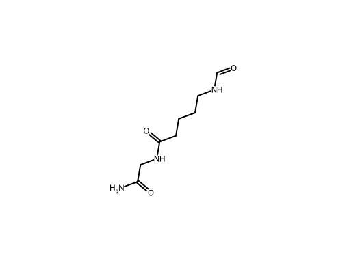 NC(=O)CNC(=O)CCCCNC=O